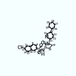 O=C1[C@@H](NS(=O)(=O)c2ccc3cc(Cl)ccc3c2)CCN1c1ccc(-c2ccccc2)cn1